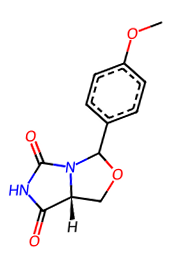 COc1ccc(C2OC[C@@H]3C(=O)NC(=O)N23)cc1